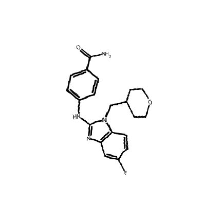 NC(=O)c1ccc(Nc2nc3cc(F)ccc3n2CC2CCOCC2)cc1